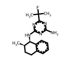 C[C@@H]1CCc2ccccc2[C@@H]1Nc1nc(N)nc(C(C)(C)F)n1